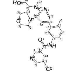 Cc1ccc(NC(=O)c2cncc(C(F)(F)F)c2)cc1-c1cnc(N(C)CCO)c(N2CCOCC2)c1